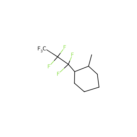 CC1CCCCC1C(F)(F)C(F)(F)C(F)(F)F